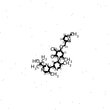 Cc1cnc(-c2nc(C(C)(C)O)ncc2C)cc1-n1c(C)cc(OCc2ccn(C)n2)c(Cl)c1=O